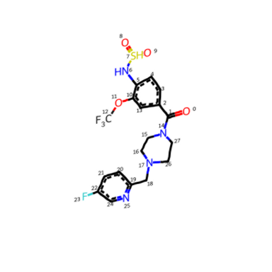 O=C(c1ccc(N[SH](=O)=O)c(OC(F)(F)F)c1)N1CCN(Cc2ccc(F)cn2)CC1